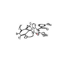 CC(c1cccnc1N(C(=O)OC(C)(C)C)C(=O)OC(C)(C)C)N1CCOc2c(Cl)c(Br)c(F)c3nc(Cl)nc1c23